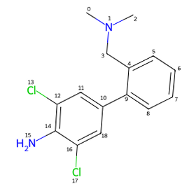 CN(C)Cc1ccccc1-c1cc(Cl)c(N)c(Cl)c1